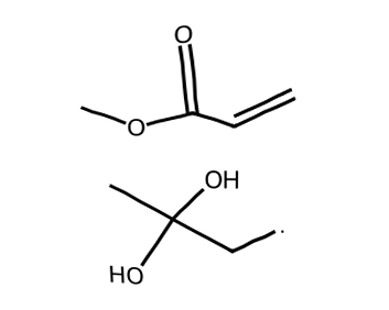 C=CC(=O)OC.[CH2]CC(C)(O)O